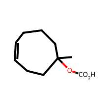 CC1(OC(=O)O)CCC=CCCC1